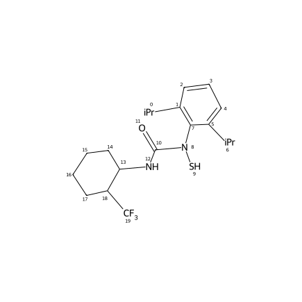 CC(C)c1cccc(C(C)C)c1N(S)C(=O)NC1CCCCC1C(F)(F)F